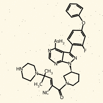 CC(C)(C=C(C#N)C(=O)N1CCC[C@H](n2nc(-c3ccc(Oc4ccccc4)cc3F)c3c([AsH2])ncnc32)C1)N1CCNCC1